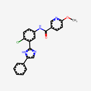 COc1ccc(C(=O)Nc2ccc(Cl)c(-c3ncc(-c4ccccc4)[nH]3)c2)cn1